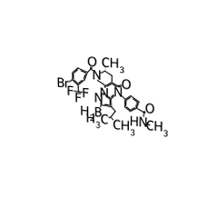 Bc1nn2c3c(c(=O)n(-c4ccc(C(=O)NC)cc4)c2c1CC(C)C)C[C@@H](C)N(C(=O)c1ccc(Br)c(C(F)(F)F)c1)C3